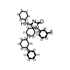 O=C1N=C(NC2CCCCC2)C2(CCN(C3CCCC(c4ccccc4)C3)CC2)N1c1cccc(F)c1